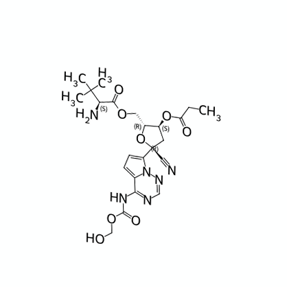 CCC(=O)O[C@H]1C[C@](C#N)(c2ccc3c(NC(=O)OCO)ncnn23)O[C@@H]1COC(=O)[C@@H](N)C(C)(C)C